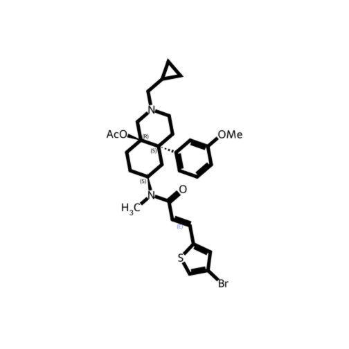 COc1cccc([C@@]23CCN(CC4CC4)C[C@@]2(OC(C)=O)CC[C@H](N(C)C(=O)/C=C/c2cc(Br)cs2)C3)c1